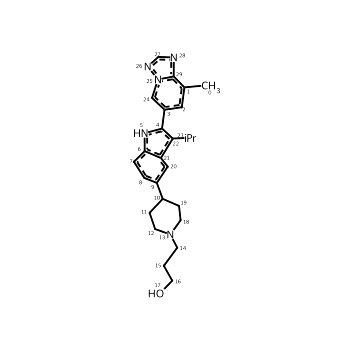 Cc1cc(-c2[nH]c3ccc(C4CCN(CCCO)CC4)cc3c2C(C)C)cn2ncnc12